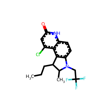 CCCC1c2c(ccc3[nH]c(=O)cc(Cl)c23)N(CC(F)(F)F)C1C